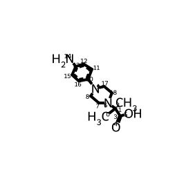 CC(C)(C(=O)O)N1CCN(c2ccc(N)cc2)CC1